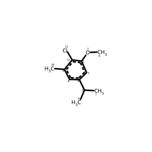 COc1cc(C(C)C)cc(C)c1Cl